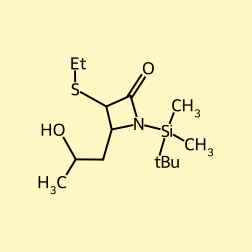 CCSC1C(=O)N([Si](C)(C)C(C)(C)C)C1CC(C)O